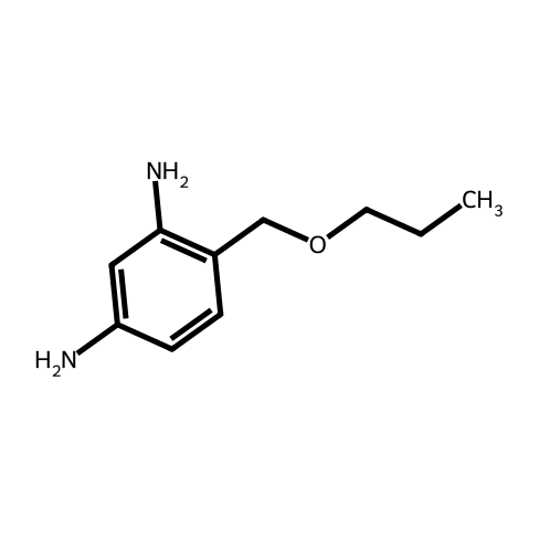 CCCOCc1ccc(N)cc1N